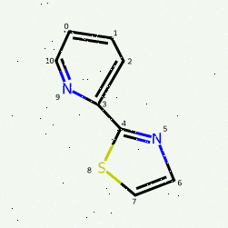 [c]1ccc(-c2nccs2)nc1